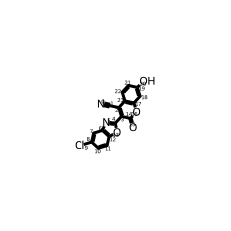 N#Cc1c(-c2nc3cc(Cl)ccc3o2)c(=O)oc2cc(O)ccc12